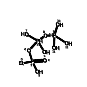 CCP(=O)(O)O[PH](O)(O)O[PH](O)(O)O